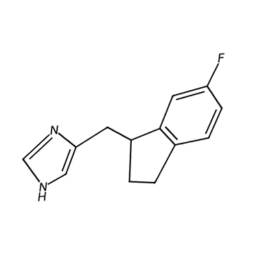 Fc1ccc2c(c1)C(Cc1c[nH]cn1)CC2